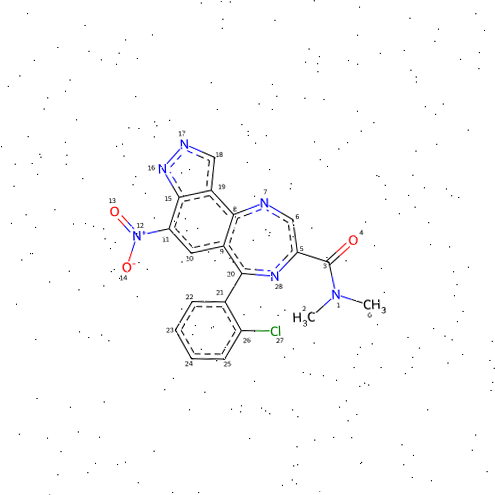 CN(C)C(=O)c1cnc2c(cc([N+](=O)[O-])c3nncc32)c(-c2ccccc2Cl)n1